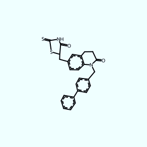 O=C1NC(=S)SC1Cc1ccc2c(c1)CCC(=O)N2Cc1ccc(-c2ccccc2)cc1